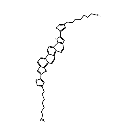 CCCCCCCCc1csc(-c2cc3ccc4c5ccc6c(ccc7cc(-c8cc(CCCCCCCC)cs8)oc76)c5ccc4c3o2)c1